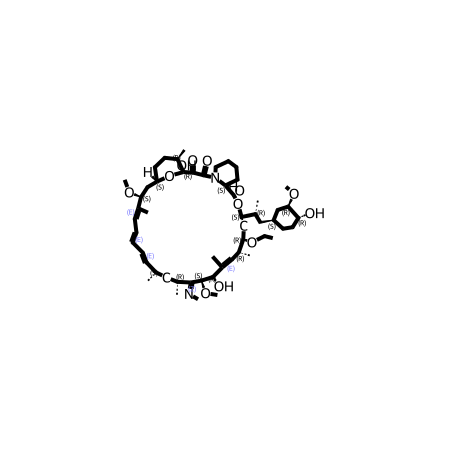 CCO[C@@H]1C[C@@H]([C@H](C)C[C@@H]2CC[C@@H](O)[C@H](OC)C2)OC(=O)[C@@H]2CCCCN2C(=O)C(=O)[C@]2(O)O[C@@H](CC[C@H]2C)C[C@H](OC)/C(C)=C/C=C/C=C/[C@@H](C)C[C@@H](C)/C(=N/C)[C@H](OC)[C@H](O)/C(C)=C/[C@H]1C